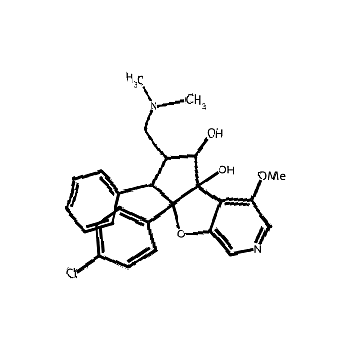 COc1cncc2c1C1(O)C(O)C(CN(C)C)C(c3ccccc3)C1(c1ccc(Cl)cc1)O2